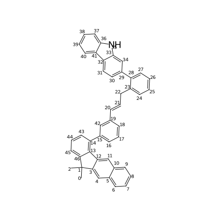 CC1(C)c2cc3ccccc3cc2-c2c(-c3cccc(/C=C/Cc4ccccc4-c4ccc5c(c4)[nH]c4ccccc45)c3)cccc21